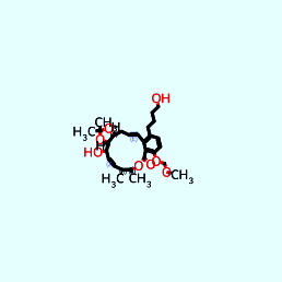 COCOc1ccc(CCCCO)c2c1C(=O)O[C@@H](C)[C@H](C)/C=C\C(O)[C@H]1OC(C)(C)O[C@H]1C/C=C/2